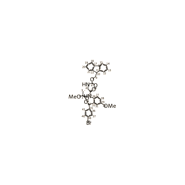 COC(=O)C[C@H](NC(=O)OCC1c2ccccc2-c2ccccc21)C(=O)Nc1ccc(OC)cc1C(=O)c1ccc(Br)cc1